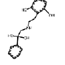 Oc1cccc(O)c1CCNCC(O)(O)c1ccccc1